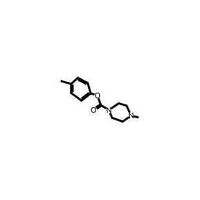 Cc1ccc(OC(=O)N2CCN(C)CC2)cc1